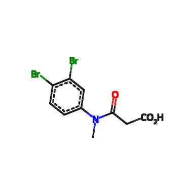 CN(C(=O)CC(=O)O)c1ccc(Br)c(Br)c1